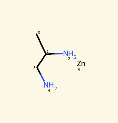 CC(N)CN.[Zn]